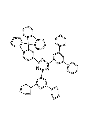 C1=CCC(c2cc(-c3ccccc3)cc(-c3nc(-c4cc(-c5ccccc5)cc(-c5ccccc5)c4)nc(-c4ccc5c(c4)C4(c6ccccc6-c6ccccc64)c4ccccc4-5)n3)c2)C=C1